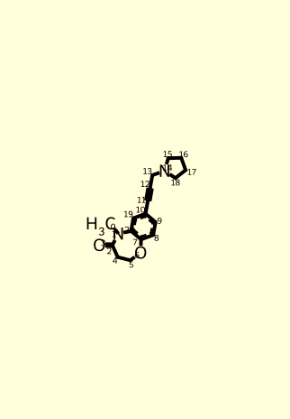 CN1C(=O)CCOc2ccc(C#CCN3CCCC3)cc21